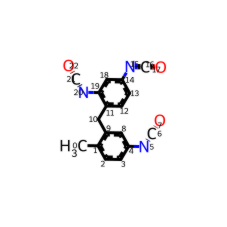 Cc1ccc(N=C=O)cc1Cc1ccc(N=C=O)cc1N=C=O